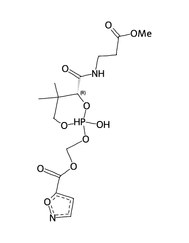 COC(=O)CCNC(=O)[C@@H]1O[PH](O)(OCOC(=O)c2ccno2)OCC1(C)C